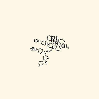 Cc1cc2c3c(c1)N1c4c(cccc4C4(C)CCCCC14C)B3c1ccc(N(c3ccc(C(C)(C)C)cc3)c3ccc4sc5ccccc5c4c3)cc1N2c1ccc(C(C)(C)C)cc1-c1ccccc1